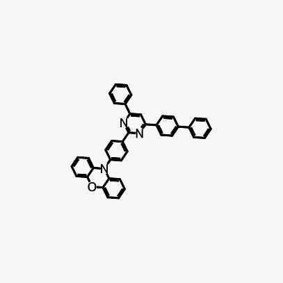 c1ccc(-c2ccc(-c3cc(-c4ccccc4)nc(-c4ccc(N5c6ccccc6Oc6ccccc65)cc4)n3)cc2)cc1